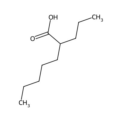 CCCCCC(CCC)C(=O)O